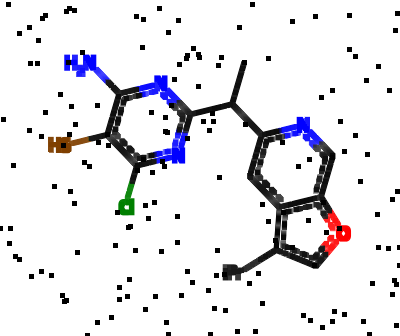 CC(C)c1coc2cnc(C(C)c3nc(N)c(S)c(Cl)n3)cc12